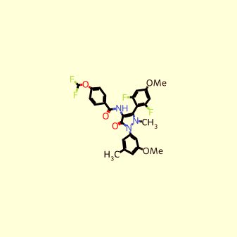 COc1cc(C)cc(-n2c(=O)c(NC(=O)c3ccc(OC(F)F)cc3)c(-c3c(F)cc(OC)cc3F)n2C)c1